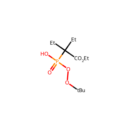 CCOC(=O)C(CC)(CC)P(=O)(O)OOC(C)(C)C